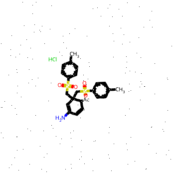 CC(=O)C1C=CC(N)=CC1(CS(=O)(=O)c1ccc(C)cc1)CS(=O)(=O)c1ccc(C)cc1.Cl